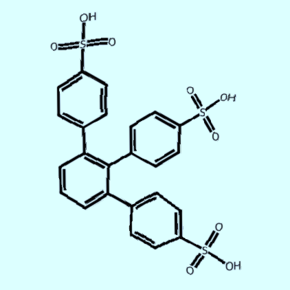 O=S(=O)(O)c1ccc(-c2cccc(-c3ccc(S(=O)(=O)O)cc3)c2-c2ccc(S(=O)(=O)O)cc2)cc1